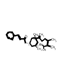 C=C(CCC(C)C(C)C(C#N)C(C)CC)[C@]1(C)C[C@@H](C)C[C@H](CC(=O)/C=C/c2ccccc2)C1